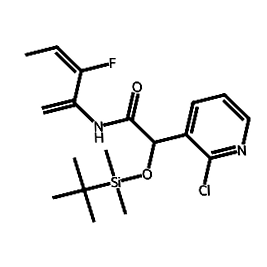 C=C(NC(=O)C(O[Si](C)(C)C(C)(C)C)c1cccnc1Cl)/C(F)=C\C